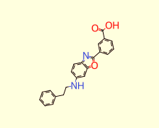 O=C(O)c1cccc(-c2nc3ccc(NCCc4ccccc4)cc3o2)c1